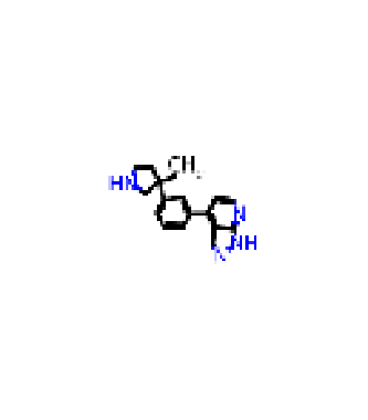 C=CC1(c2cccc(-c3ccnc4[nH]ncc34)c2)CCNC1